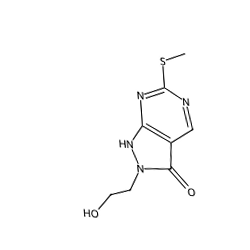 CSc1ncc2c(=O)n(CCO)[nH]c2n1